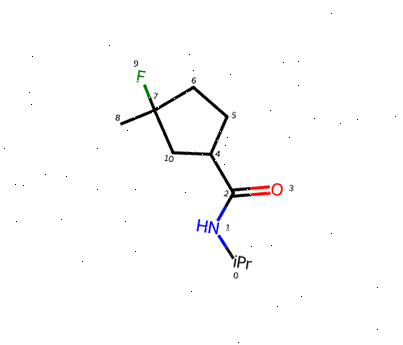 CC(C)NC(=O)C1CCC(C)(F)C1